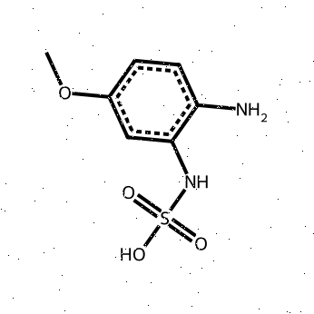 COc1ccc(N)c(NS(=O)(=O)O)c1